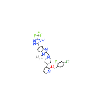 Cn1c(CN2CCC(c3cccnc3OCc3ccc(Cl)cc3F)CC2)nc2cc(-c3nnc(C(F)(F)F)[nH]3)ccc21